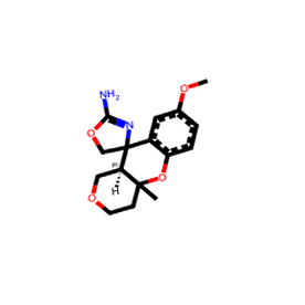 COc1ccc2c(c1)C1(COC(N)=N1)[C@@H]1COCCC1(C)O2